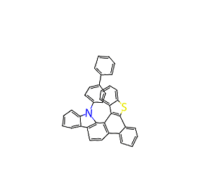 c1ccc(-c2ccc(-n3c4ccccc4c4ccc5c6ccccc6c6sc7ccccc7c6c5c43)cc2)cc1